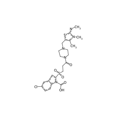 CN=c1sc(CN2CCN(C(=O)CCS(=O)(=O)c3cc4cc(Cl)ccc4n3C(=O)O)CC2)c(C)n1C